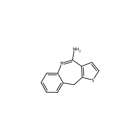 NC1=Nc2ccccc2Cc2sccc21